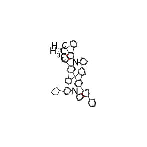 CC1(C)c2ccccc2-c2cc(N(c3ccccc3)c3cc4c(cc3-c3ccccc3)-c3ccccc3C43c4ccccc4-c4cc(-c5ccc(-c6ccccc6)cc5)c(N(c5ccccc5)c5ccc(C6CCCCC6)cc5)cc43)ccc21